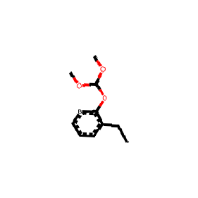 CCc1cccbc1OC(OC)OC